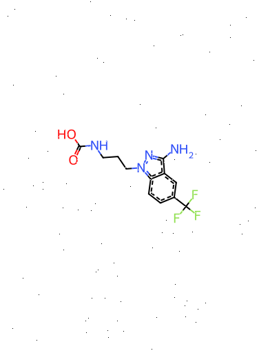 Nc1nn(CCCNC(=O)O)c2ccc(C(F)(F)F)cc12